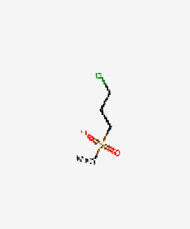 COS(=O)(=O)CCCCl